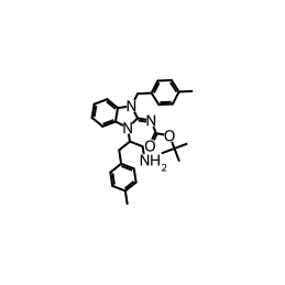 Cc1ccc(CC(CN)n2c(=NC(=O)OC(C)(C)C)n(Cc3ccc(C)cc3)c3ccccc32)cc1